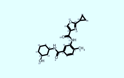 Cc1ccc(C(=O)NC2CCC[C@H](O)C2)cc1NC(=O)c1coc(C2CC2)n1